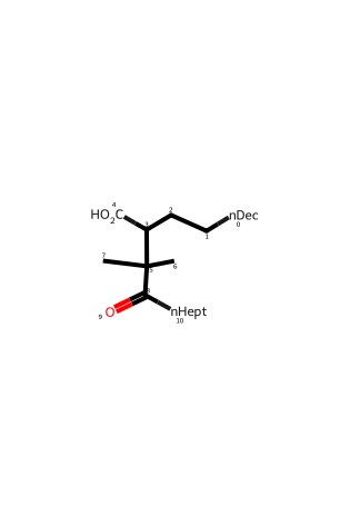 CCCCCCCCCCCCC(C(=O)O)C(C)(C)C(=O)CCCCCCC